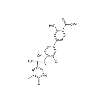 COC(=O)c1ccc(-c2ccc(C(C)C(O)(c3c[nH]c(=O)c(C)c3)C(F)(F)F)c(Cl)c2)cc1OC